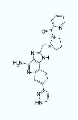 Nc1nc2cc(-c3cc[nH]n3)ccc2c2[nH]c(C[C@H]3CCCN3C(=O)c3ccccn3)nc12